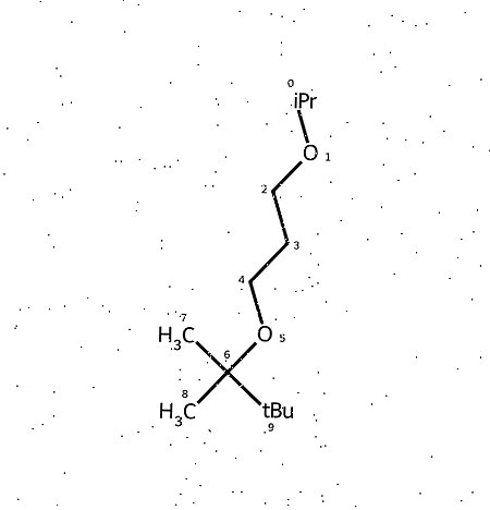 CC(C)OCCCOC(C)(C)C(C)(C)C